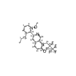 CCSc1ccc[n+](OC)c1-c1cc2ccc(=O)n(CC(F)(F)C(F)(F)F)c2cn1